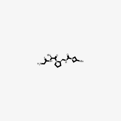 CCCCC1CN(C(=O)NC[C@H]2CCCN2C(=O)[C@@H](NC(=S)CN)C(C)(C)C)C1